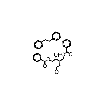 O=CC[C@H](COC(=O)c1ccccc1)[C@@H](O)COC(=O)c1ccccc1.c1ccc(CCc2ccccc2)cc1